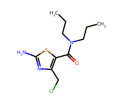 CCCN(CCC)C(=O)c1sc(N)nc1CCl